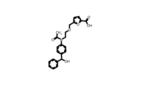 CC(=O)N(CCOCc1ccc(C(=O)O)o1)c1ccc(C(O)c2ccccc2)cc1